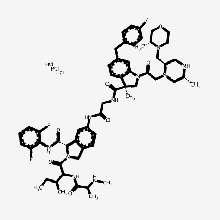 CCC(C)C(NC(=O)C(C)NC)C(=O)N1Cc2ccc(NC(=O)CNC(=O)[C@]3(C)CN(C(=O)CN4C[C@@H](C)NC[C@@H]4CN4CCOC[C@H]4C)c4cc(Cc5ccc(F)cc5)ccc43)cc2[C@H]1C(=O)Nc1c(F)cccc1F.Cl.Cl.Cl